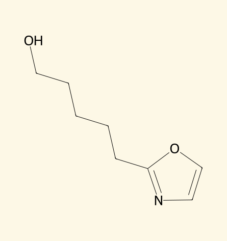 OCCCCCc1ncco1